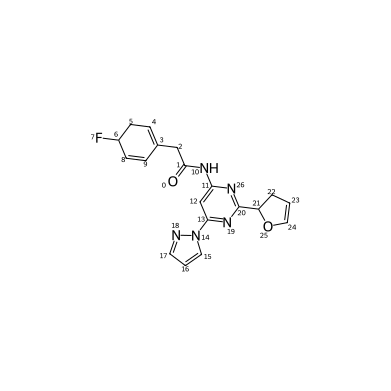 O=C(CC1=CCC(F)C=C1)Nc1cc(-n2cccn2)nc(C2CC=CO2)n1